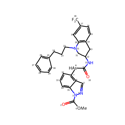 COC(=O)n1ncc2c([AsH]C(=O)NC3Cc4ccc(C(F)(F)F)cc4N(CCCc4ccccc4)C3)cccc21